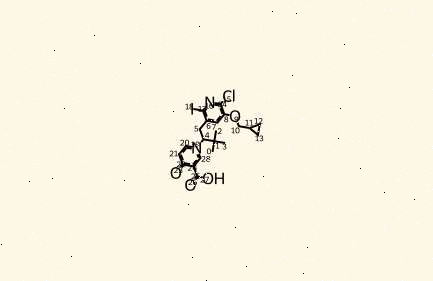 CC(C)(C)C(Cc1cc(OCC2CC2)c(Cl)nc1I)n1ccc(=O)c(C(=O)O)c1